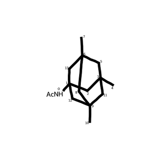 CC(=O)NC12CC3(C)CC(C)(CC(C)(C3)C1)C2